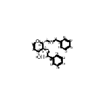 O[C@@H]1C=CO[C@H](COCc2ccccc2)[C@H]1OCc1ccccc1